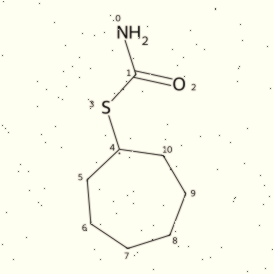 NC(=O)S[C]1CCCCCC1